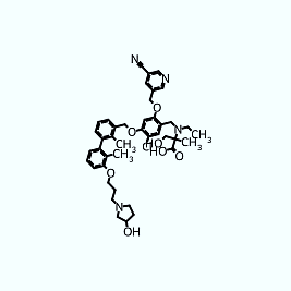 CCN(Cc1cc(Cl)c(OCc2cccc(-c3cccc(OCCCN4CCC(O)C4)c3C)c2C)cc1OCc1cncc(C#N)c1)C(C)(CO)C(=O)O